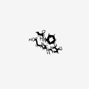 C=CC(=O)Nc1cccc(Oc2nc(Nc3cnn(CCO)c3)ncc2Cl)c1